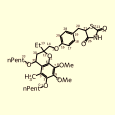 CCCCCOc1c(C)c2c(c(OC)c1OC)OC(CC)(COc1ccc(CC3SC(=O)NC3=O)cc1)CC2OCCCCC